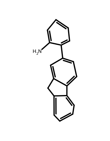 Nc1ccccc1-c1ccc2c(c1)Cc1ccccc1-2